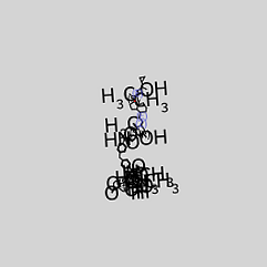 C=C1/C(=C\C=C2/CCCC3(C)C2CCC3[C@@H](C)/C=C/C(O)C2CC2)C[C@@H](O)C[C@@H]1OC(=O)Nc1ccc(Cc2ccc(NC(=O)O[C@@H]3[C@@]4(C(C)C)O[C@H]4[C@@H]4O[C@]45[C@]34O[C@H]4C[C@H]3C4=C(CC[C@@]35C)C(=O)OC4)cc2)cc1